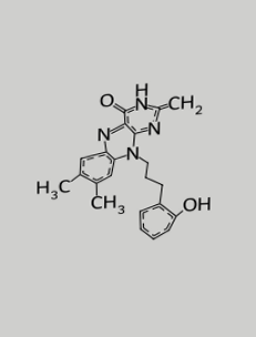 C=c1nc2c(c(=O)[nH]1)=Nc1cc(C)c(C)cc1N2CCCc1ccccc1O